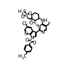 Cc1ccc(S(=O)(=O)n2cc(-c3ncc(F)c(N[C@H]4CCC[C@](C)(CS(C)(=O)=O)C4)n3)c3cc(Cl)cnc32)cc1